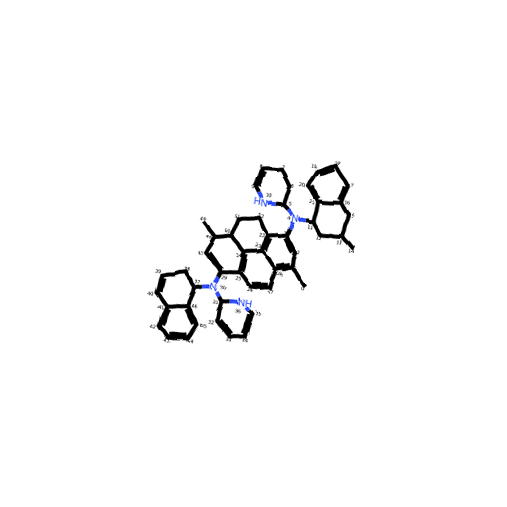 Cc1cc(N(C2CCC=CN2)C2CC(C)Cc3ccccc32)c2c3c4c(ccc13)C(N(C1C=CC=CN1)C1CC=Cc3ccccc31)=CC(C)C4CC2